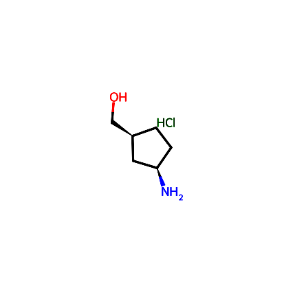 Cl.N[C@@H]1CC[C@H](CO)C1